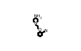 N#Cc1ccccc1OCCCN1CCC(N)CC1